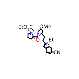 CCOC(=O)CN1CCC[C@@H]1C(=O)N1CC(OC)CC1CCc1cc2ccc(C#N)cc2n1CC